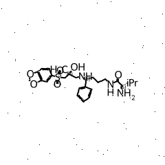 CC(C)[C@H](N)C(=O)NCCC[C@H](NC[C@@](C)(O)CS(=O)(=O)c1ccc2c(c1)OCO2)c1ccccc1